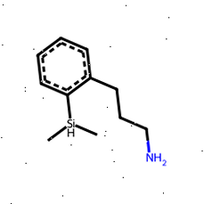 C[SiH](C)c1ccccc1CCCN